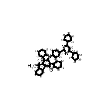 CC1(C)c2ccccc2-c2c1c1c3ccccc3n(-c3ccc(-c4nc(-c5ccccc5)cc(-c5ccccc5)n4)cc3)c1c1c2oc2ccccc21